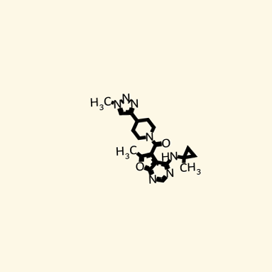 Cc1oc2ncnc(NC3(C)CC3)c2c1C(=O)N1CCC(c2cn(C)nn2)CC1